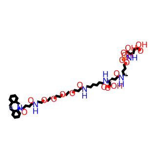 C[C@H](CCCOP(=O)(O)NC(CCC(=O)O)C(=O)O)NC(=O)CC[C@H](NC(=O)CCCCCNC(=O)CCOCCOCCOCCOCCNC(=O)CCC(=O)N1Cc2ccccc2/C=C\c2ccccc21)C(=O)O